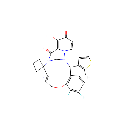 Cc1sccc1[C@H]1c2ccc(F)c(F)c2OC/C=C/C2(CCC2)N2CN1n1ccc(=O)c(O)c1C2=O